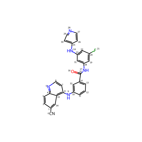 N#Cc1ccc2nccc(Nc3cccc(C(=O)Nc4cc(F)cc(Nc5ccncc5)c4)c3)c2c1